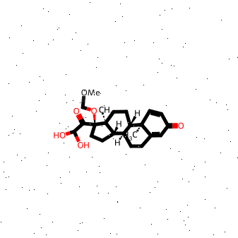 COCO[C@]1(C(=O)C(O)O)CC[C@H]2[C@@H]3CCC4=CC(=O)C=C[C@]4(C)[C@H]3CC[C@@]21C